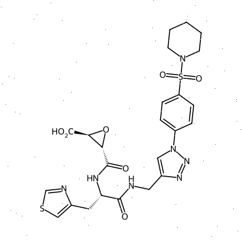 O=C(NCc1cn(-c2ccc(S(=O)(=O)N3CCCCC3)cc2)nn1)[C@H](Cc1cscn1)NC(=O)[C@H]1O[C@@H]1C(=O)O